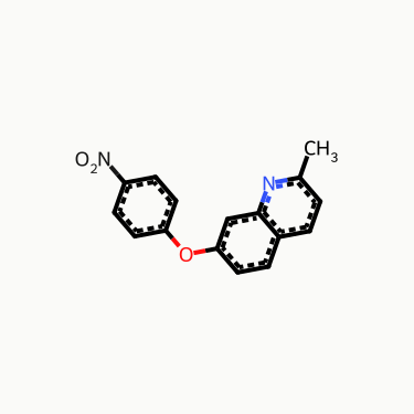 Cc1ccc2ccc(Oc3ccc([N+](=O)[O-])cc3)cc2n1